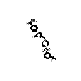 N=C(N)c1ccc(N2CC(CN3CCN(S(=O)(=O)c4cccc(C(F)(F)F)c4)CC3)OC2=O)cc1